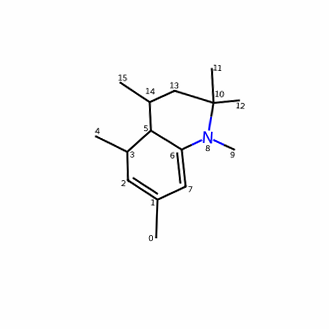 CC1=CC(C)C2C(=C1)N(C)C(C)(C)CC2C